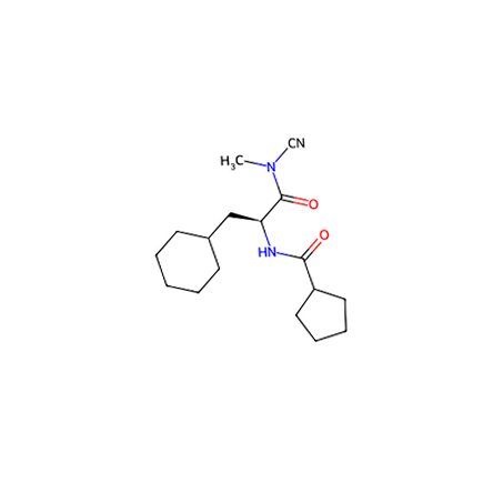 CN(C#N)C(=O)[C@H](CC1CCCCC1)NC(=O)C1CCCC1